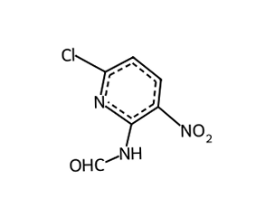 O=CNc1nc(Cl)ccc1[N+](=O)[O-]